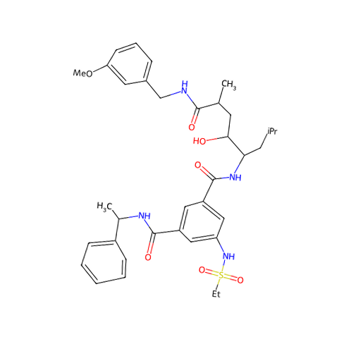 CCS(=O)(=O)Nc1cc(C(=O)NC(C)c2ccccc2)cc(C(=O)NC(CC(C)C)C(O)CC(C)C(=O)NCc2cccc(OC)c2)c1